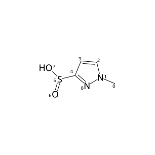 Cn1ccc(S(=O)O)n1